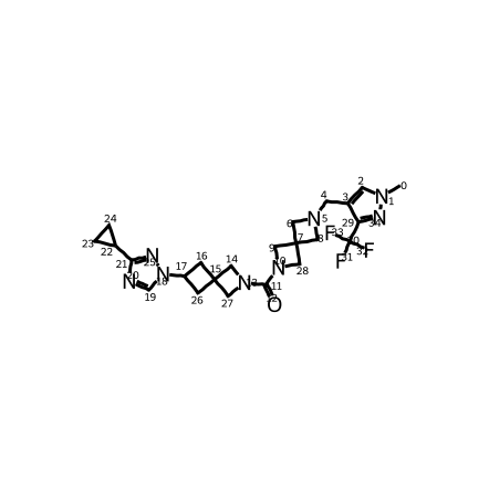 Cn1cc(CN2CC3(C2)CN(C(=O)N2CC4(CC(n5cnc(C6CC6)n5)C4)C2)C3)c(C(F)(F)F)n1